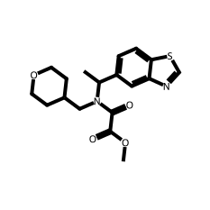 COC(=O)C(=O)N(CC1CCOCC1)C(C)c1ccc2scnc2c1